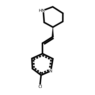 Clc1ccc(C=C[C@@H]2CCCNC2)cn1